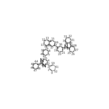 C1=CC(c2cc(-c3ccc(-c4cccc5ccc(-c6cccc(-n7c8ccccc8c8ccccc87)c6)cc45)cc3)nc(-c3ccccc3)n2)=CCC1